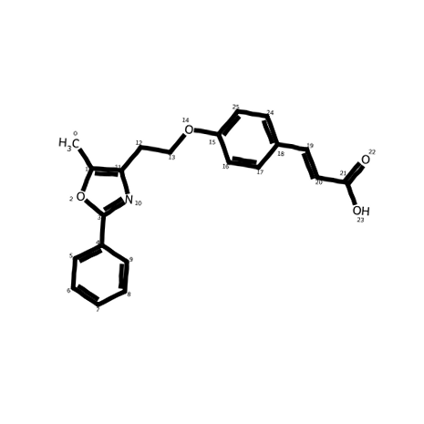 Cc1oc(-c2ccccc2)nc1CCOc1ccc(C=CC(=O)O)cc1